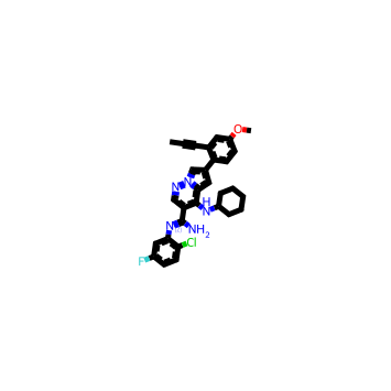 CC#Cc1cc(OC)ccc1-c1cc2c(NC3CCCCC3)c(/C(N)=N/c3cc(F)ccc3Cl)cnn2c1